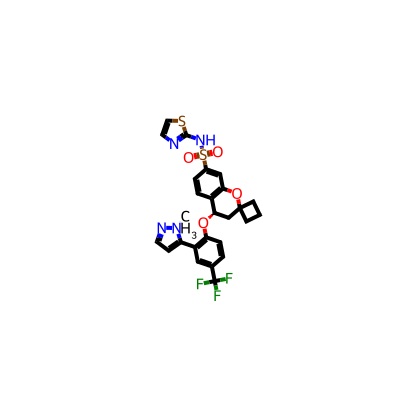 Cn1nccc1-c1cc(C(F)(F)F)ccc1O[C@@H]1CC2(CCC2)Oc2cc(S(=O)(=O)Nc3nccs3)ccc21